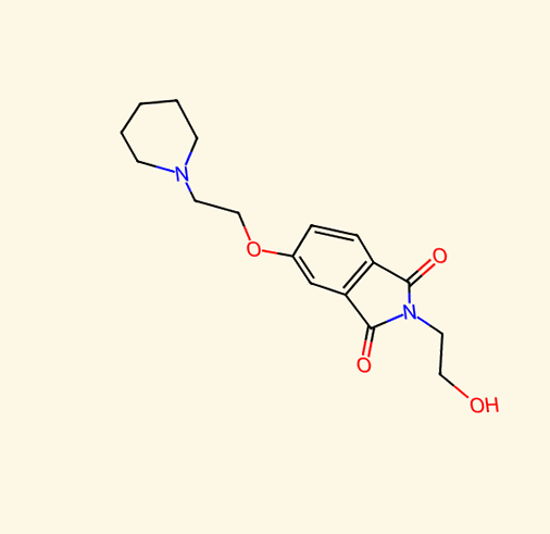 O=C1c2ccc(OCCN3CCCCC3)cc2C(=O)N1CCO